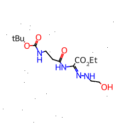 CCOC(=O)/C(=N\NCCO)NC(=O)CCNC(=O)OC(C)(C)C